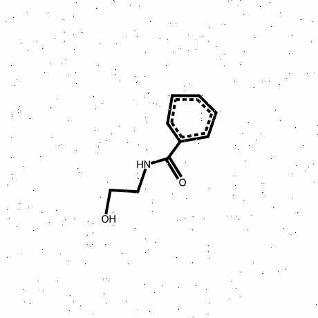 O=C(NCCO)c1c[c][c]cc1